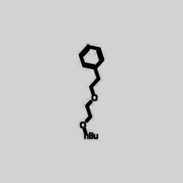 CCCCOCCOCCc1cc[c]cc1